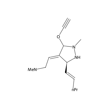 C#COC1/C(=C/CNC)[C@H](C=CCCC)NN1C